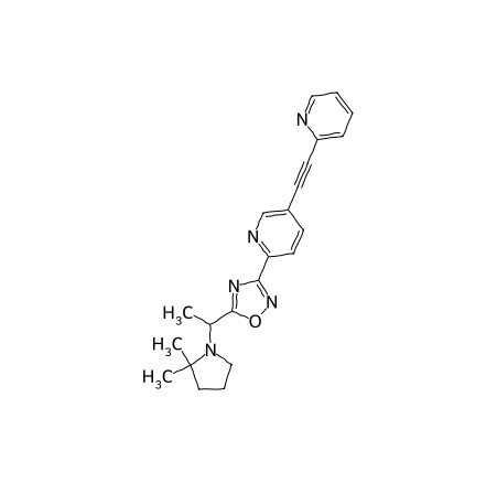 CC(c1nc(-c2ccc(C#Cc3ccccn3)cn2)no1)N1CCCC1(C)C